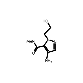 CNC(=O)c1c(N)cnn1CCO